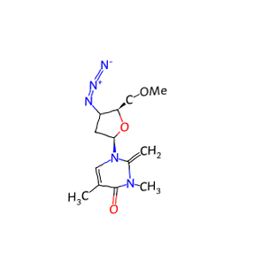 C=C1N(C)C(=O)C(C)=CN1[C@H]1CC(N=[N+]=[N-])[C@@H](COC)O1